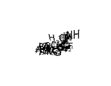 Cc1c2c(nn(OC(=O)C(F)(F)F)[n+]1=O)COc1cc(C(F)(F)F)c(CCC3(C)CNC3)cc1-2